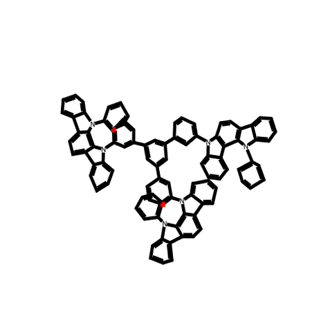 c1ccc(-n2c3ccccc3c3ccc4c(c5ccccc5n4-c4cccc(-c5cc(-c6cccc(-n7c8ccccc8c8ccc9c%10ccccc%10n(-c%10ccccc%10)c9c87)c6)cc(-c6cccc(-n7c8ccccc8c8ccc9c%10ccccc%10n(-c%10ccccc%10)c9c87)c6)c5)c4)c32)cc1